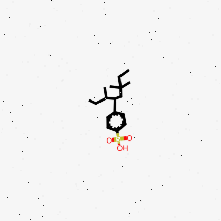 CCC(C)C(CC(C)(C)CC)c1ccc(S(=O)(=O)O)cc1